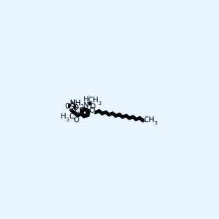 CCCCCCCCCCCCCCCCOc1ccc(C(=O)C(C)(C)CS(N)(=O)=O)cc1NC(C)=O